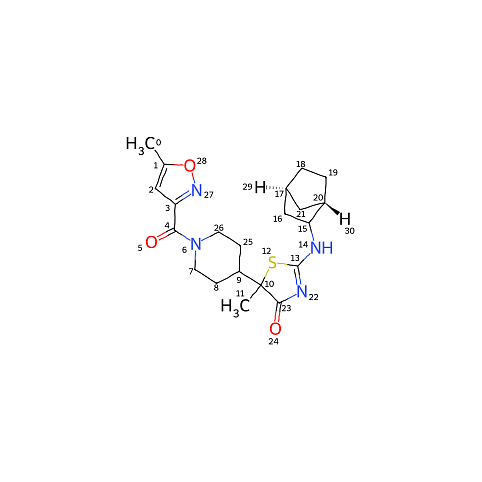 Cc1cc(C(=O)N2CCC(C3(C)SC(NC4C[C@H]5CC[C@H]4C5)=NC3=O)CC2)no1